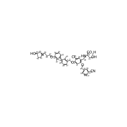 Cc1c(COc2cc(OCc3cncc(C#N)c3)c(CNC(CO)C(=O)O)cc2Cl)cccc1-c1cccc(OCCCN2CCC(O)C2)c1C